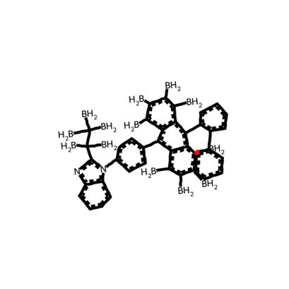 Bc1c(B)c(B)c2c(-c3ccccc3-c3ccccc3)c3c(B)c(B)c(B)c(B)c3c(-c3ccc(-n4c(C(B)(B)C(B)(B)B)nc5ccccc54)cc3)c2c1B